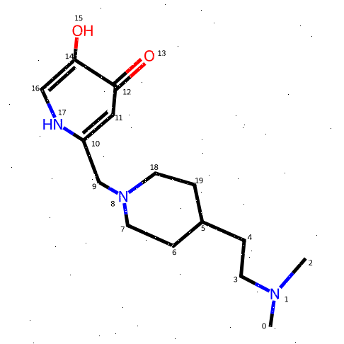 CN(C)CCC1CCN(Cc2cc(=O)c(O)c[nH]2)CC1